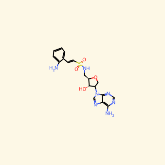 Nc1ccccc1/C=C/S(=O)(=O)NC[C@H]1OCC(n2cnc3c(N)ncnc32)[C@@H]1O